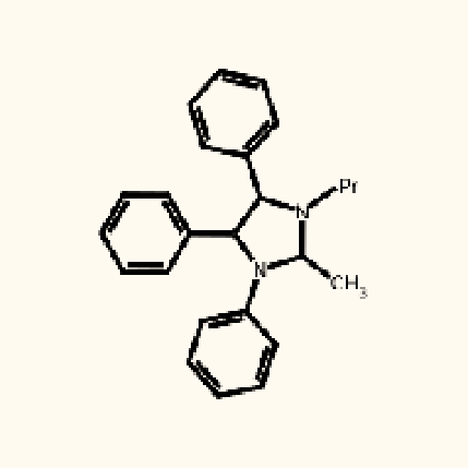 CC(C)N1C(c2ccccc2)C(c2ccccc2)N(c2ccccc2)C1C